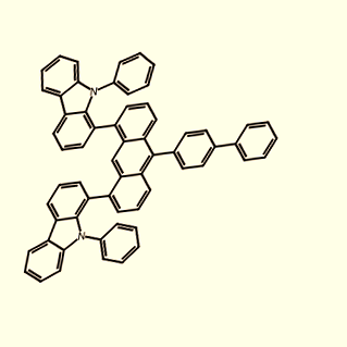 c1ccc(-c2ccc(-c3c4cccc(-c5cccc6c7ccccc7n(-c7ccccc7)c56)c4cc4c(-c5cccc6c7ccccc7n(-c7ccccc7)c56)cccc34)cc2)cc1